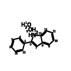 O.O.c1ccc(-c2cc3ccccc3[nH]2)cc1